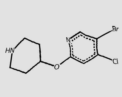 Clc1cc(OC2CCNCC2)ncc1Br